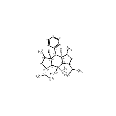 CC(C)C1CC(C)[C@H]2[C@@H]1[Si](C)(C)C1[C@H](C(C)C)CC(C)[C@@H]1P2c1ccccc1